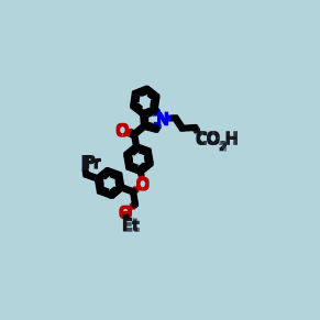 CCOCC(Oc1ccc(C(=O)c2cn(CCCC(=O)O)c3ccccc23)cc1)c1ccc(CC(C)C)cc1